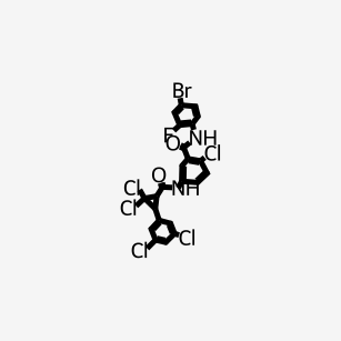 O=C(Nc1ccc(Br)cc1F)c1cc(NC(=O)C2C(c3cc(Cl)cc(Cl)c3)C2(Cl)Cl)ccc1Cl